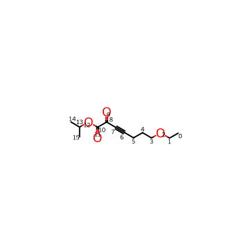 CCOCCCC#CC(=O)C(=O)OC(C)C